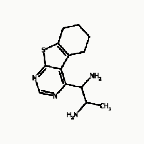 CC(N)C(N)c1ncnc2sc3c(c12)CCCC3